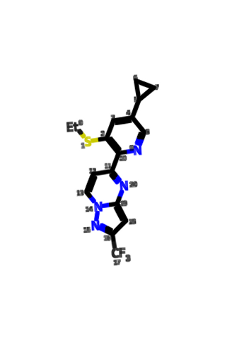 CCSc1cc(C2CC2)cnc1-c1ccn2nc(C(F)(F)F)cc2n1